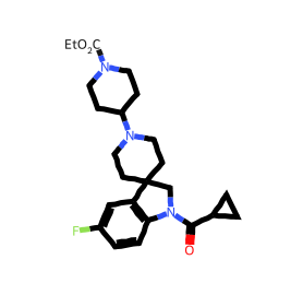 CCOC(=O)N1CCC(N2CCC3(CC2)CN(C(=O)C2CC2)c2ccc(F)cc23)CC1